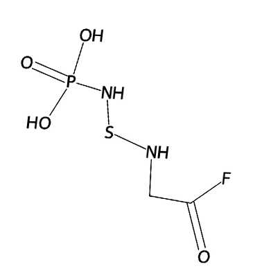 O=C(F)CNSNP(=O)(O)O